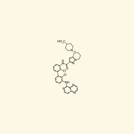 O=C(Nc1cccc(-c2cccc(Nc3nccc4nccnc34)c2Cl)c1Cl)c1cc2n(n1)CCC[C@H]2N1CCC(C(=O)O)CC1